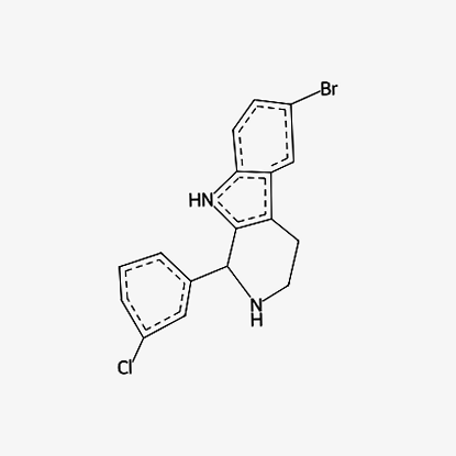 Clc1cccc(C2NCCc3c2[nH]c2ccc(Br)cc32)c1